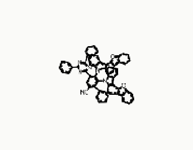 N#Cc1cc(-c2nc(-c3ccccc3)nc(-c3ccccc3)n2)c(-n2c3ccccc3c3c4oc5ccccc5c4ccc32)c(-n2c3ccccc3c3c4oc5ccccc5c4ccc32)c1-c1ccccc1